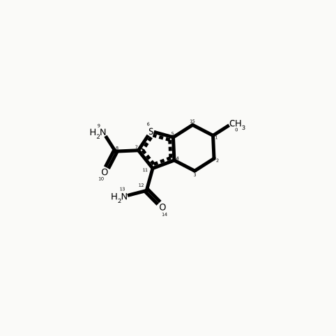 CC1CCc2c(sc(C(N)=O)c2C(N)=O)C1